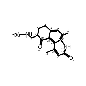 CCCCNCC1CCc2cc(C)c3[nH]c(=O)cc(C)c3c2C1=O